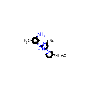 CCCCc1cc(N2CCCC(NC(C)=O)C2)nc(Nc2cc(N)cc(C(F)(F)F)c2)n1